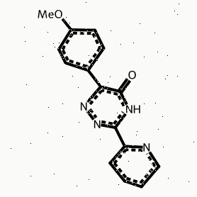 COc1ccc(-c2nnc(-c3ccccn3)[nH]c2=O)cc1